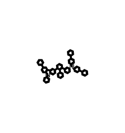 c1ccc(-c2ccc(N(c3ccc(-c4ccccc4)cc3)c3cccc(-c4cccc(-c5ccc6c(c5)c5cc(-c7ccccc7)ccc5n6-c5ccccc5)c4-c4ccccc4)c3)cc2)cc1